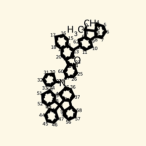 CC1(C)c2ccccc2-c2ccc(-c3c4ccccc4cc4c3oc3ccc(N(c5ccccc5)c5ccc6c(c5)C(c5ccccc5)(c5ccccc5)c5ccccc5-6)cc34)cc21